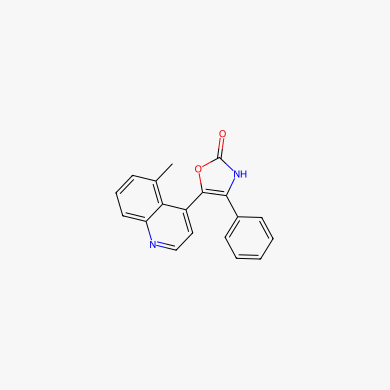 Cc1cccc2nccc(-c3oc(=O)[nH]c3-c3ccccc3)c12